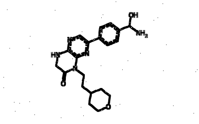 NC(O)c1ccc(-c2cnc3c(n2)N(CCC2CCOCC2)C(=O)CN3)cc1